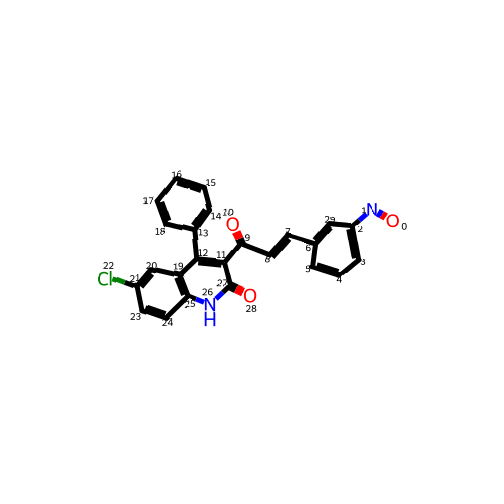 O=Nc1cccc(/C=C/C(=O)c2c(-c3ccccc3)c3cc(Cl)ccc3[nH]c2=O)c1